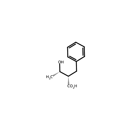 C[C@H](O)[C@H](Cc1ccccc1)C(=O)O